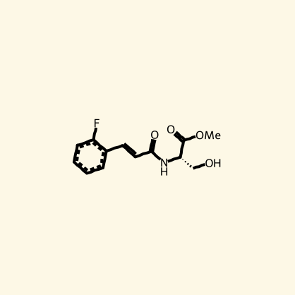 COC(=O)[C@H](CO)NC(=O)/C=C/c1ccccc1F